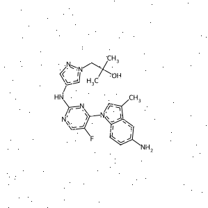 Cc1cn(-c2nc(Nc3cnn(CC(C)(C)O)c3)ncc2F)c2ccc(N)cc12